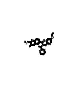 CCOc1ccc(CN(C(=O)c2ccc3nc(N)c(C)cc3c2)C(C)c2ncccn2)nc1